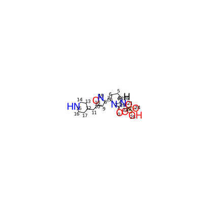 O=C1N2C[C@@H](CC[C@H]2c2cc(CC3CCNCC3)on2)N1OS(=O)(=O)O